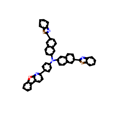 c1ccc2sc(-c3ccc4cc(N(c5ccc(-c6ccc7c(n6)oc6ccccc67)cc5)c5ccc6cc(-c7nc8ccccc8s7)ccc6c5)ccc4c3)nc2c1